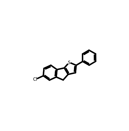 Clc1ccc2c(c1)Cc1cc(-c3ccccc3)sc1-2